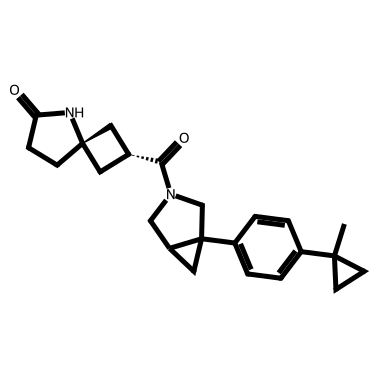 CC1(c2ccc(C34CC3CN(C(=O)[C@H]3C[C@]5(CCC(=O)N5)C3)C4)cc2)CC1